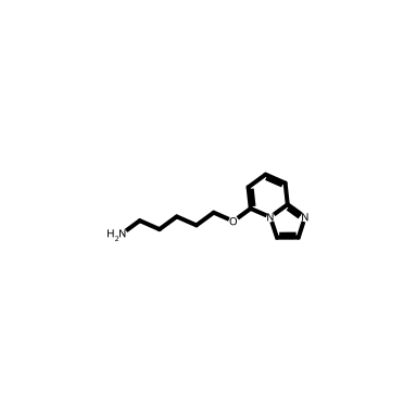 NCCCCCOc1cccc2nccn12